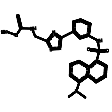 CN(C)c1cccc2c(S(=O)(=O)Nc3cccc(-c4csc(CNC(=O)OC(C)(C)C)n4)c3)cccc12